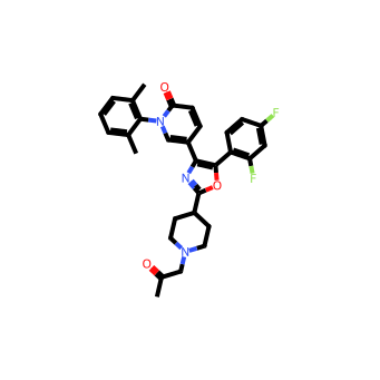 CC(=O)CN1CCC(c2nc(-c3ccc(=O)n(-c4c(C)cccc4C)c3)c(-c3ccc(F)cc3F)o2)CC1